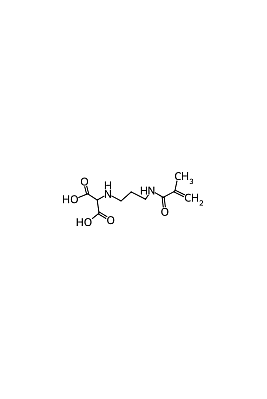 C=C(C)C(=O)NCCCNC(C(=O)O)C(=O)O